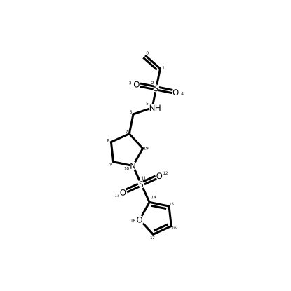 C=CS(=O)(=O)NCC1CCN(S(=O)(=O)c2ccco2)C1